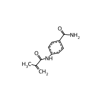 C=C(C)C(=O)Nc1ccc(C(N)=O)cc1